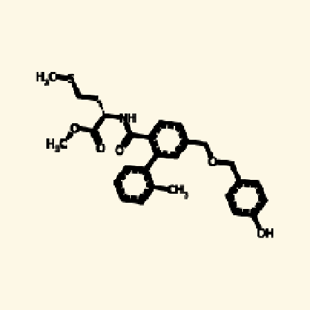 COC(=O)[C@H](CCSC)NC(=O)c1ccc(COCc2ccc(O)cc2)cc1-c1ccccc1C